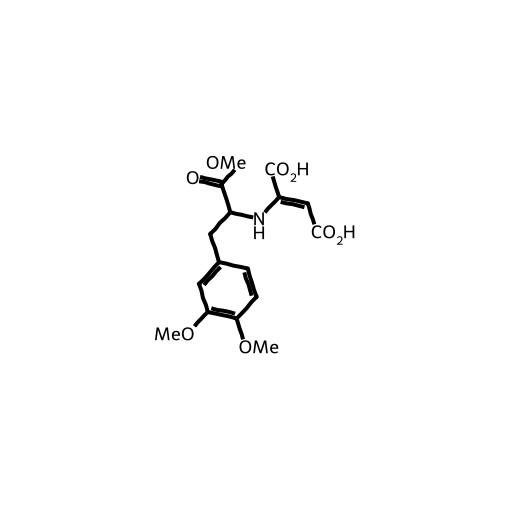 COC(=O)C(Cc1ccc(OC)c(OC)c1)N/C(=C\C(=O)O)C(=O)O